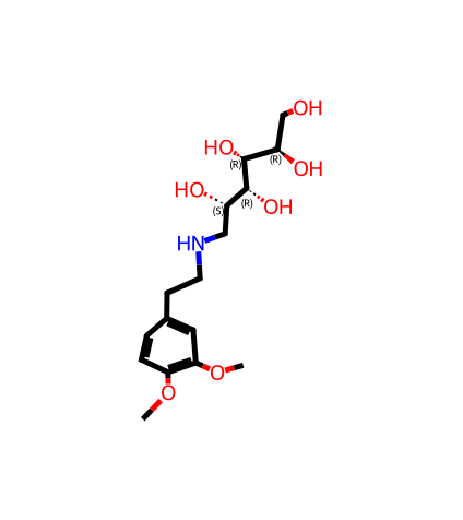 COc1ccc(CCNC[C@H](O)[C@@H](O)[C@H](O)[C@H](O)CO)cc1OC